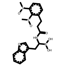 C[S+]([O-])c1cccc(CCC(=O)NC(Cc2coc3ccccc23)B(O)O)c1[S+](C)[O-]